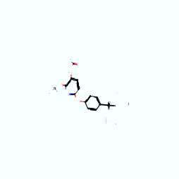 CC(C)(C)c1ccc(Oc2ccc(OC(N)=O)c(OC(F)(F)F)n2)cc1